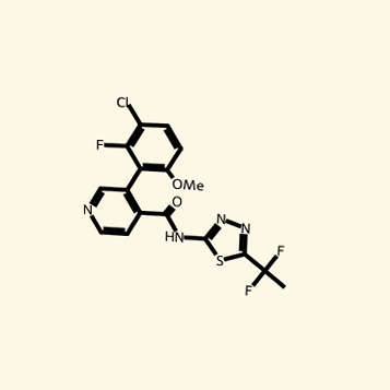 COc1ccc(Cl)c(F)c1-c1cnccc1C(=O)Nc1nnc(C(C)(F)F)s1